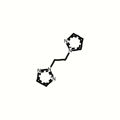 c1cnn(CCn2nccn2)c1